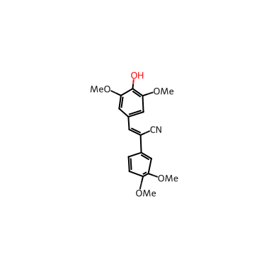 COc1ccc(C(C#N)=Cc2cc(OC)c(O)c(OC)c2)cc1OC